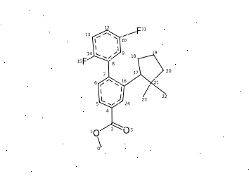 COC(=O)c1ccc(-c2cc(F)ccc2F)c(C2CCCC2(C)C)c1